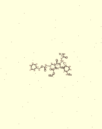 CCCCc1ccc(C[C@@H](CC(N)=O)N(CCCC)C(=O)[C@H](CCCC(=O)OCc2ccccc2)NC(=O)OC(C)(C)C)cc1